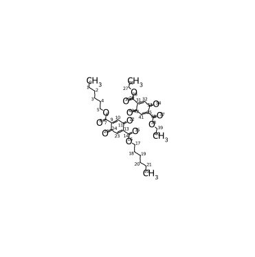 CCCCCCOC(=O)C1=CC(=O)C(C(=O)OCCCCCC)=CC1=O.CCOC(=O)C1=CC(=O)C(C(=O)OCC)=CC1=O